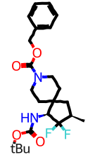 C[C@@H]1CC2(CCN(C(=O)OCc3ccccc3)CC2)[C@H](NC(=O)OC(C)(C)C)C1(F)F